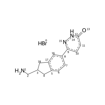 Br.NCC1Cc2ccc(-c3ccc(=O)[nH]n3)cc2C1